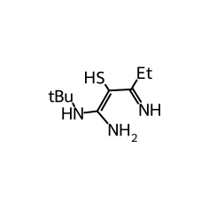 CCC(=N)/C(S)=C(\N)NC(C)(C)C